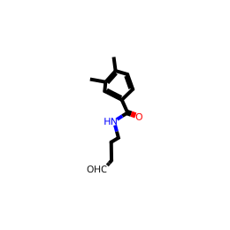 Cc1ccc(C(=O)NCCCC=O)cc1C